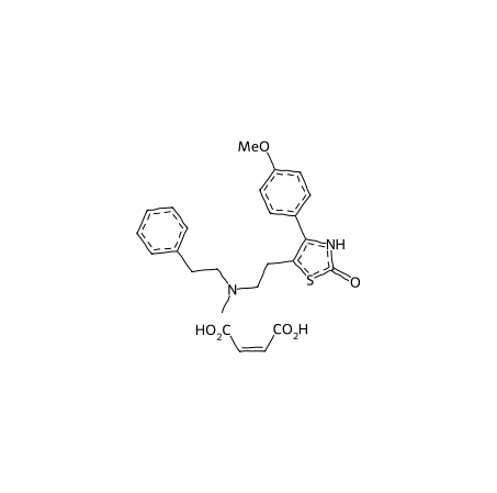 COc1ccc(-c2[nH]c(=O)sc2CCN(C)CCc2ccccc2)cc1.O=C(O)/C=C\C(=O)O